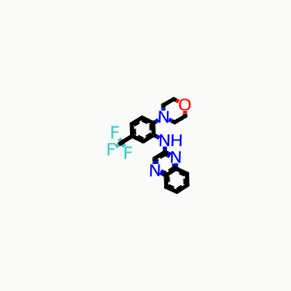 FC(F)(F)c1ccc(N2CCOCC2)c(Nc2cnc3ccccc3n2)c1